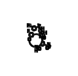 CCc1cccc(C2(NC[C@@H](O)[C@@H]3Cc4cc(F)cc(c4)OCCCCNC(=O)c4cc(cc(-c5ncco5)c4)C(=O)N3)CC2)c1